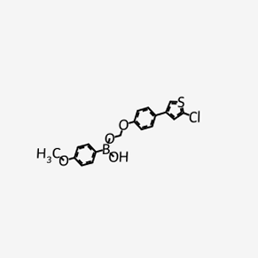 COc1ccc(B(O)OCOc2ccc(-c3csc(Cl)c3)cc2)cc1